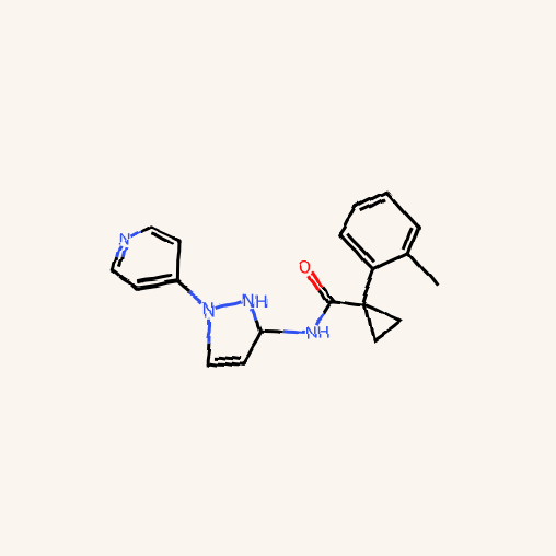 Cc1ccccc1C1(C(=O)NC2C=CN(c3ccncc3)N2)CC1